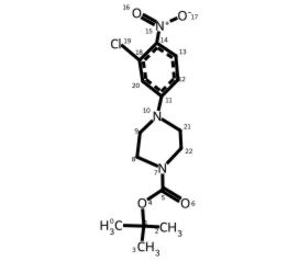 CC(C)(C)OC(=O)N1CCN(c2ccc([N+](=O)[O-])c(Cl)c2)CC1